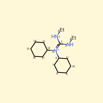 CCNC(NCC)=[N+](C1CCCCC1)C1CCCCC1